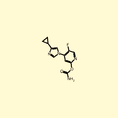 NC(=O)Oc1cc(-n2cnc(C3CC3)c2)c(F)cn1